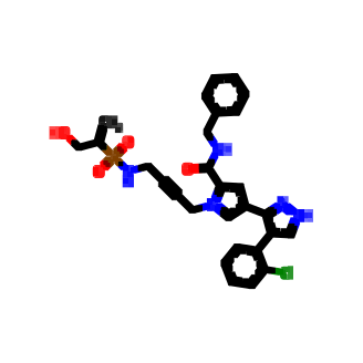 C=C(CO)S(=O)(=O)NCC#CCn1cc(-c2n[nH]cc2-c2ccccc2Cl)cc1C(=O)NCc1ccccc1